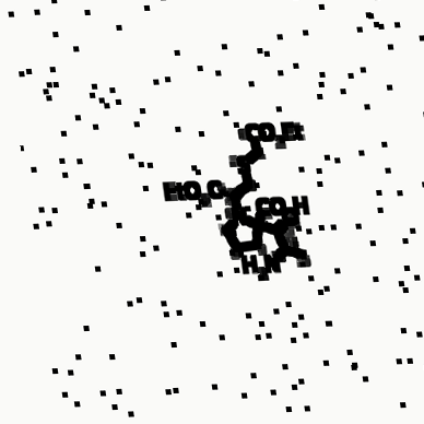 CCOC(=O)CSC[C@@H](C(=O)OCC)N1CCCC1(C(=O)O)C(=O)C(C)N